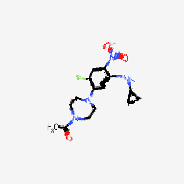 CC(=O)N1CCN(c2cc(NC3CC3)c([N+](=O)[O-])cc2F)CC1